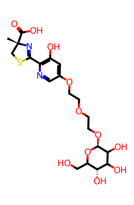 C[C@]1(C(=O)O)CSC(c2ncc(OCCOCCO[C@@H]3OC(CO)[C@@H](O)C(O)C3O)cc2O)=N1